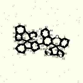 c1ccc2c(c1)Oc1c(cc(-c3ccc4c(c3)C3(c5ccccc5-4)c4ccccc4-c4cccc5cccc3c45)c3ccccc13)C21c2ccccc2-c2ccccc21